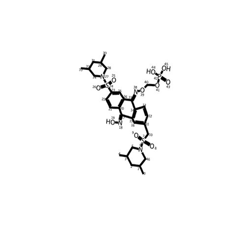 CC1CC(C)CN(S(=O)(=O)Cc2ccc3c(c2)/C(=N/O)c2ccc(S(=O)(=O)N4CC(C)CC(C)C4)cc2/C3=N/OCOP(=O)(O)O)C1